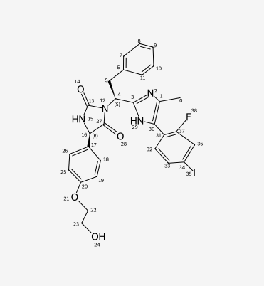 Cc1nc([C@H](Cc2ccccc2)N2C(=O)N[C@H](c3ccc(OCCO)cc3)C2=O)[nH]c1-c1ccc(I)cc1F